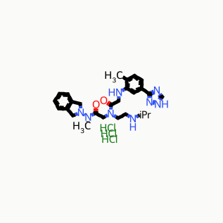 Cc1ccc(-c2nc[nH]n2)cc1NCC(=O)N(CCNC(C)C)CC(=O)N(C)N1Cc2ccccc2C1.Cl.Cl.Cl